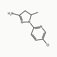 CC1CC(N)=NN1c1ccc(Cl)cn1